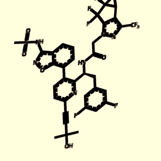 CC(C)(O)C#Cc1ccc(-c2cccc3c(NS(C)(=O)=O)noc23)c([C@H](Cc2cc(F)cc(F)c2)NC(=O)Cn2nc(C(F)(F)F)c3c2C(F)(F)[C@@H]2CC32)n1